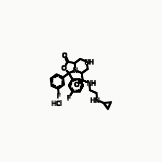 Cl.O=C(NCCNC1CC1)C1CNCC2C(=O)OC(c3cccc(F)c3)(c3cccc(F)c3)N12